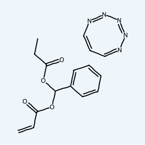 C1=CN=NN=NN=C1.C=CC(=O)OC(OC(=O)CC)c1ccccc1